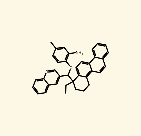 CCC1(C(Oc2ccc(C)cc2N)c2cnc3ccccc3c2)CCCc2c1ccc1c2ccc2ccccc21